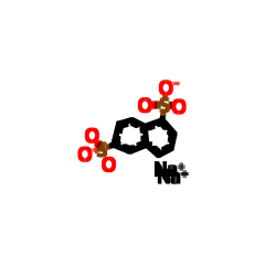 O=S(=O)([O-])c1ccc2c(S(=O)(=O)[O-])cccc2c1.[Na+].[Na+]